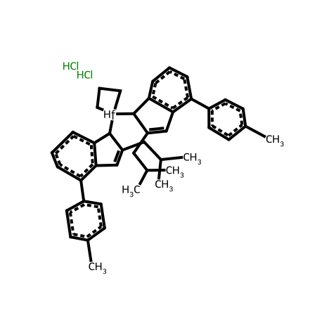 Cc1ccc(-c2cccc3c2C=C(CC(C)C)[CH]3[Hf]2([CH]3C(CC(C)C)=Cc4c(-c5ccc(C)cc5)cccc43)[CH2]C[CH2]2)cc1.Cl.Cl